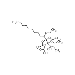 CCCCCCCCCC(OCC)C(OCC)(OCC)C(OCC)(OCC)OP(=O)(O)O